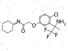 CC(N)(c1cc(OCC(=O)N=C2CCCCC2)ccc1Cl)C(F)(F)F